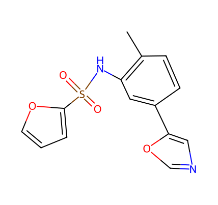 Cc1ccc(-c2cnco2)cc1NS(=O)(=O)c1ccco1